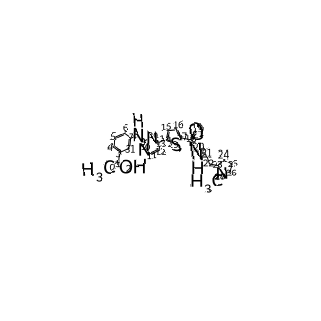 CC(O)c1cccc(Nc2nccc(-c3ccc(C(=O)NCCC4CCCN4C)s3)n2)c1